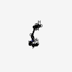 N=C/C(=C\NC1CCN(C(=O)CCCCCCNc2cccc3c2C(=O)N(C2CCC(=O)NC2=O)C3=O)CC1)c1cnc2cccc(-c3cc(F)c(CN4CCOCC4)c(F)c3)c2n1